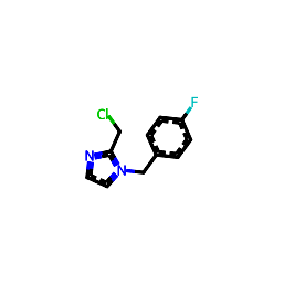 Fc1ccc(Cn2ccnc2CCl)cc1